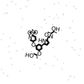 C[C@H](O)[C@@H]1COC(c2ccc(-c3cc(Oc4ccc(S(C)(=O)=O)nc4)cc(O[C@@H](C)CO)c3)[nH]2)=N1